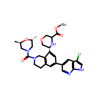 C[C@@H]1CN(C(=O)N2CCc3cc(-c4cnc5[nH]cc(Cl)c5c4)cc([C@@H]4COCC(C(=O)OC(C)(C)C)N4)c3C2)C[C@@H](C)O1